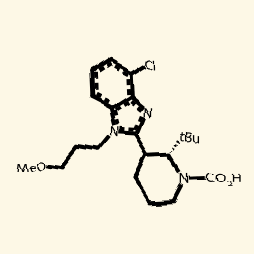 COCCCn1c(C2CCCN(C(=O)O)[C@H]2C(C)(C)C)nc2c(Cl)cccc21